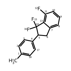 Cc1ccc(C2Cc3cccc(F)c3C2(F)F)cc1